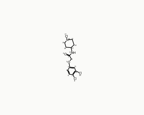 O=C(COc1ccc(Cl)c(Cl)c1)NC1CCN(Cl)CC1